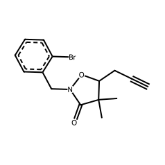 C#CCC1ON(Cc2ccccc2Br)C(=O)C1(C)C